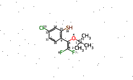 C[Si](C)(C)OC(=C(F)F)c1ccc(Cl)cc1S